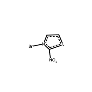 O=[N+]([O-])c1nccn1Br